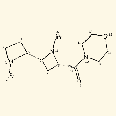 CC(C)N1CCC1C1C[C@@H](C(=O)N2CCOCC2)N1C(C)C